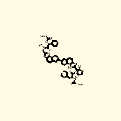 CCCN(Cc1nc2ccc3cc(-c4ccc5c(ccc6nc(C7[C@H]8CC[C@H](C8)N7C(=O)C(C=C7CCOCC7)NC(=O)OC)[nH]c65)c4)ccc3c2[nH]1)C(=O)[C@H](NC(=O)OC)c1ccccc1